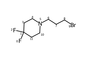 FC1(F)CCN(CCCBr)CC1